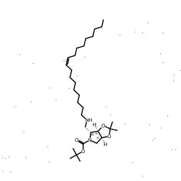 CCCCCCCC/C=C\CCCCCCCCNC[C@@H]1[C@H]2OC(C)(C)O[C@H]2CN1C(=O)OC(C)(C)C